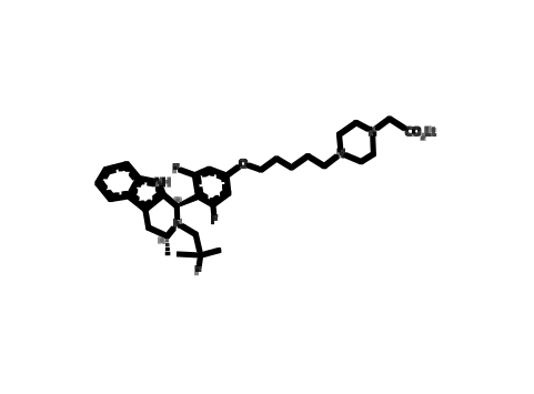 CCOC(=O)CN1CCN(CCCCCOc2cc(F)c([C@@H]3c4[nH]c5ccccc5c4C[C@@H](C)N3CC(C)(C)F)c(F)c2)CC1